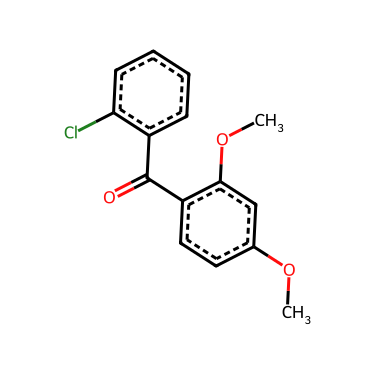 COc1ccc(C(=O)c2ccccc2Cl)c(OC)c1